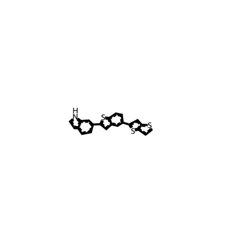 c1cc2ccc(-c3cc4cc(-c5cc6sccc6s5)ccc4s3)cc2[nH]1